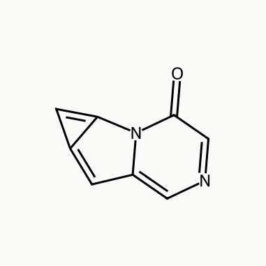 O=c1cncc2cc3cc3n12